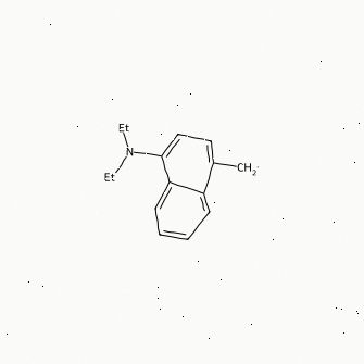 [CH2]c1ccc(N(CC)CC)c2ccccc12